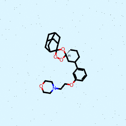 c1cc(OCCN2CCOCC2)cc(C2CCC[C@]3(C2)OOC2(O3)C3CC4CC(C3)CC2C4)c1